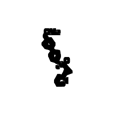 COCc1ccc(-c2ccc(N(C)C(=O)C3CC3c3ccccn3)cc2)cc1